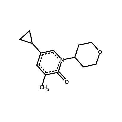 Cc1cc(C2CC2)cn(C2CCOCC2)c1=O